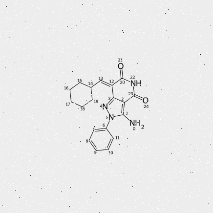 Nc1c2c(nn1-c1ccccc1)/C(=C\C1CCCCC1)C(=O)NC2=O